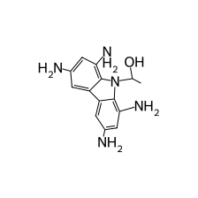 CC(O)n1c2c(N)cc(N)cc2c2cc(N)cc(N)c21